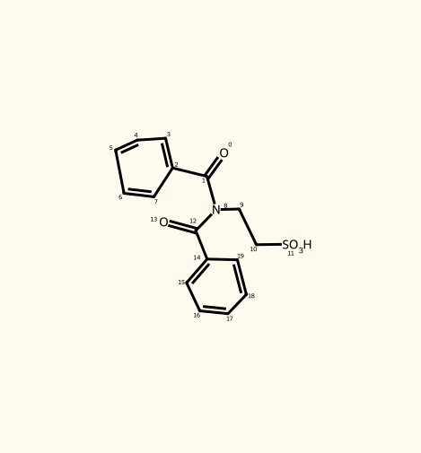 O=C(c1ccccc1)N(CCS(=O)(=O)O)C(=O)c1ccccc1